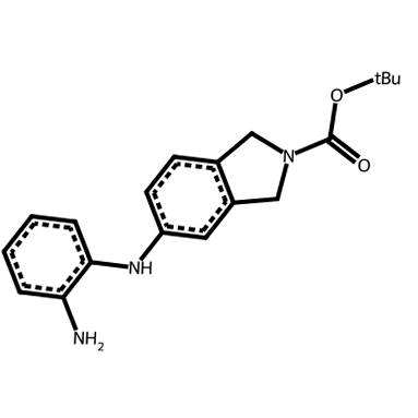 CC(C)(C)OC(=O)N1Cc2ccc(Nc3ccccc3N)cc2C1